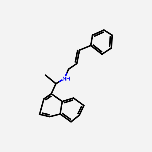 CC(NCC=Cc1ccccc1)c1cccc2ccccc12